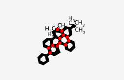 CC(C)(C)c1cc(-c2ccccc2N(c2ccc(-c3ccccc3)cc2)c2ccccc2-c2cccc3cccc(C4CCCCC4)c23)cc(C(C)(C)C)c1